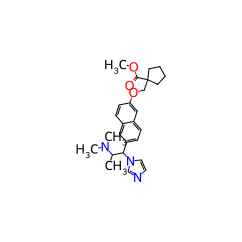 COC(=O)C1(COc2ccc3cc(C(C(C)N(C)C)n4ccnc4)ccc3c2)CCCC1